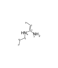 C/C=C(/N)NCCC